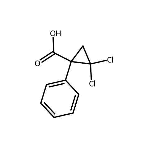 O=C(O)C1(c2ccccc2)CC1(Cl)Cl